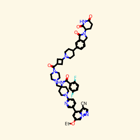 CCOc1cc(-c2ccc(N3CCC(CN4CCN(C(=O)C5CC(N6CCC(c7ccc8c(c7)C(=O)N(C7CCC(=O)NC7=O)C8)CC6)C5)CC4)(NC(=O)c4cc(F)ccc4F)CC3)nc2)c2c(C#N)cnn2c1